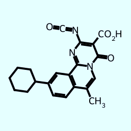 Cc1cn2c(=O)c(C(=O)O)c(N=C=O)nc2c2cc(C3CCCCC3)ccc12